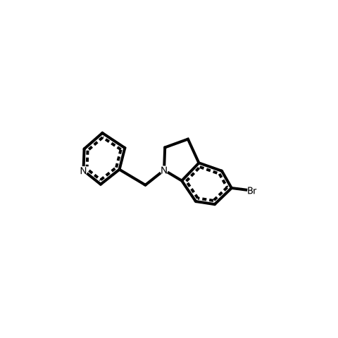 Brc1ccc2c(c1)CCN2Cc1cccnc1